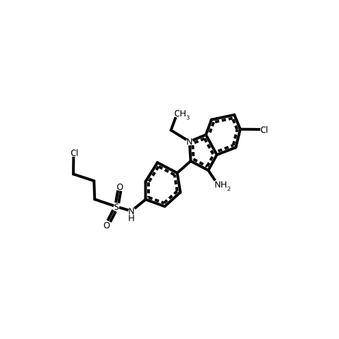 CCn1c(-c2ccc(NS(=O)(=O)CCCCl)cc2)c(N)c2cc(Cl)ccc21